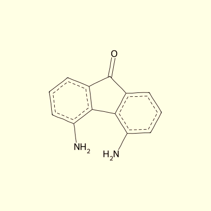 Nc1cccc2c1-c1c(N)cccc1C2=O